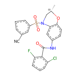 C[C@H]1CN(S(=O)(=O)c2cccc(C#N)c2)c2cc(NC(=O)c3c(F)cccc3Cl)ccc2O1